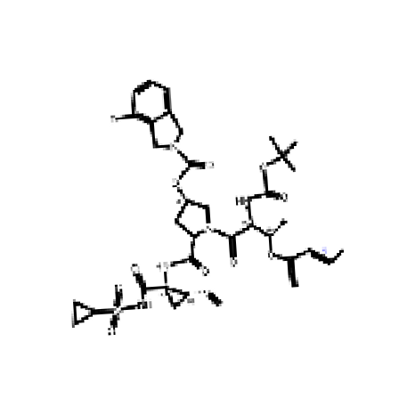 C=C[C@@H]1C[C@]1(NC(=O)C1C[C@@H](OC(=O)N2Cc3cccc(F)c3C2)CN1C(=O)[C@@H](NC(=O)OC(C)(C)C)[C@@H](C)OC(=C)/C=C/C)C(=O)NS(=O)(=O)C1CC1